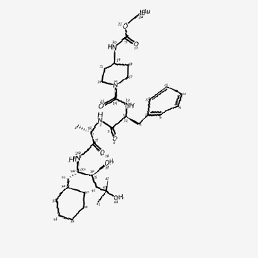 C[C@H](NC(=O)[C@H](Cc1ccccc1)NC(=O)N1CCC(NC(=O)OC(C)(C)C)CC1)C(=O)N[C@@H](CC1CCCCC1)[C@@H](O)CC(C)(C)O